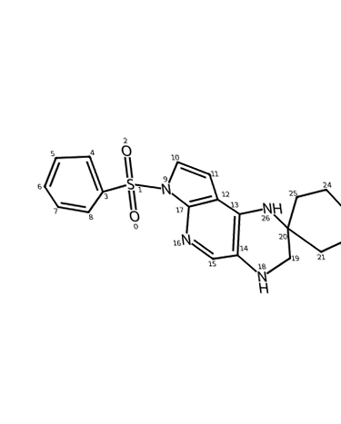 O=S(=O)(c1ccccc1)n1ccc2c3c(cnc21)NCC1(CCOCC1)N3